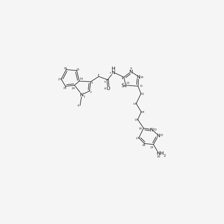 Cn1cc(CC(=O)Nc2nnc(CCCCc3ccc(N)nn3)[se]2)c2ccccc21